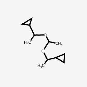 C[C](OC(C)C1CC1)OC(C)C1CC1